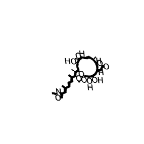 CO[C@@H](/C(C)=C/C=C/C(C)=C/c1coc(C)n1)[C@@H](C)C1C[C@H](O)[C@]2(C)O[C@@H]2/C=C/[C@@H](C)[C@H]2C[C@H](CC(=O)O2)C[C@@H](O)[C@@H](O)C(=O)O1